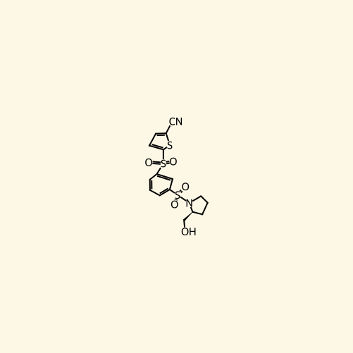 N#Cc1ccc(S(=O)(=O)c2cccc(S(=O)(=O)N3CCC[C@H]3CO)c2)s1